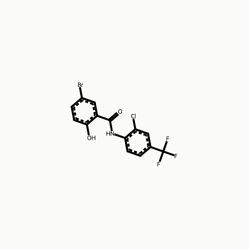 O=C(Nc1ccc(C(F)(F)F)cc1Cl)c1cc(Br)ccc1O